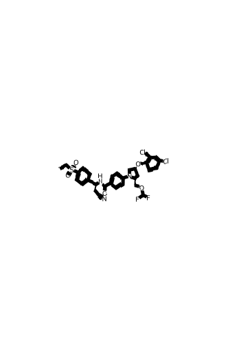 CCS(=O)(=O)c1ccc([C@H](CC#N)NC(=O)c2ccc(N3C[C@H](Oc4ccc(Cl)cc4Cl)C[C@H]3COC(F)F)cc2)cc1